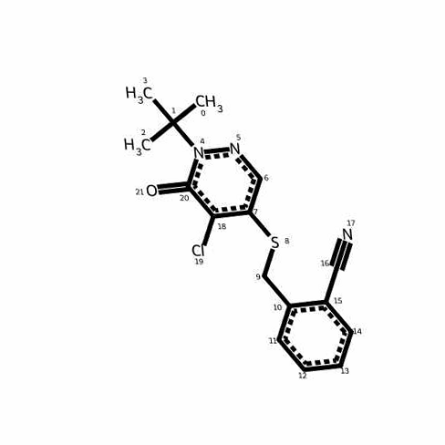 CC(C)(C)n1ncc(SCc2ccccc2C#N)c(Cl)c1=O